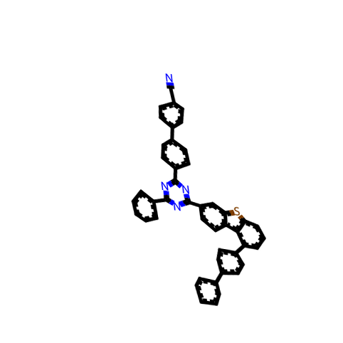 N#Cc1ccc(-c2ccc(-c3nc(-c4ccccc4)nc(-c4ccc5c(c4)sc4cccc(-c6ccc(-c7ccccc7)cc6)c45)n3)cc2)cc1